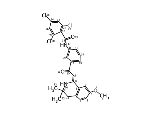 COc1ccc2c(c1)C(=CC(=O)c1cccc(NC(=O)c3c(Cl)cc(Cl)cc3Cl)c1)NC(C)(C)C2